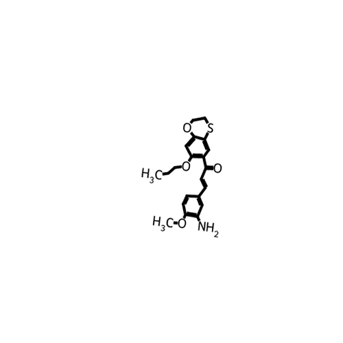 CCCOc1cc2c(cc1C(=O)/C=C/c1ccc(OC)c(N)c1)SCCO2